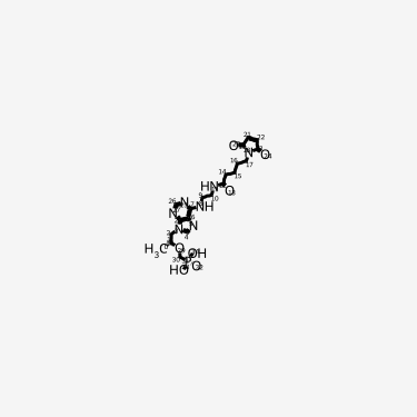 C[C@H](Cn1cnc2c(NCCNC(=O)CCCCN3C(=O)C=CC3=O)ncnc21)OCP(=O)(O)O